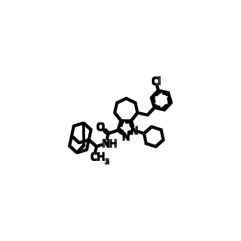 CC(NC(=O)c1nn(C2CCCCC2)c2c1CCCCC2Cc1cccc(Cl)c1)C12CC3CC(CC(C3)C1)C2